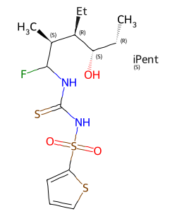 CCC[C@H](C)[C@@H](C)[C@H](O)[C@H](CC)[C@H](C)C(F)NC(=S)NS(=O)(=O)c1cccs1